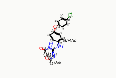 COC(=O)/N=C(\NC(=O)OC)Nc1ccc(Oc2ccc(Cl)cc2)cc1NC(C)=O